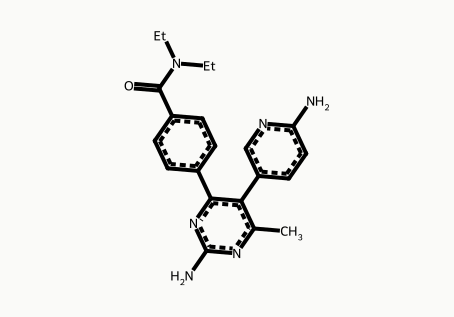 CCN(CC)C(=O)c1ccc(-c2nc(N)nc(C)c2-c2ccc(N)nc2)cc1